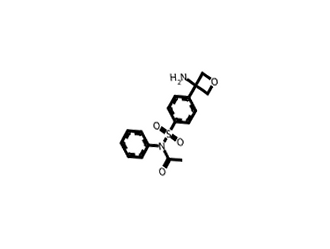 CC(=O)N(c1ccccc1)S(=O)(=O)c1ccc(C2(N)COC2)cc1